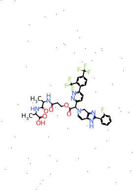 CC(NC(=O)C(C)NC(=O)CCOC(=O)C(c1ccc(-c2ccc(C(F)(F)F)cc2C(F)(F)F)nn1)N1C=Cc2[nH]c(-c3ccccc3F)nc2C1)C(=O)O